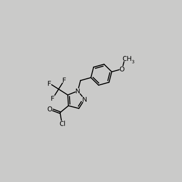 COc1ccc(Cn2ncc(C(=O)Cl)c2C(F)(F)F)cc1